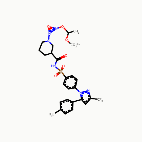 CCOC(=O)OC(C)On1on1N1CCCC(C(=O)NS(=O)(=O)c2ccc(-n3nc(C(F)(F)F)cc3-c3ccc(C)cc3)cc2)C1